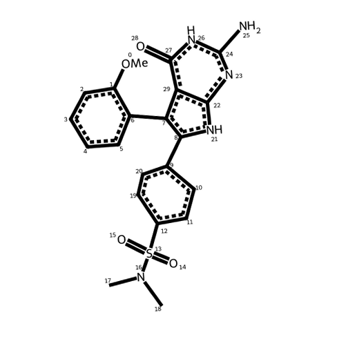 COc1ccccc1-c1c(-c2ccc(S(=O)(=O)N(C)C)cc2)[nH]c2nc(N)[nH]c(=O)c12